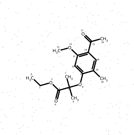 CCOC(=O)C(C)(C)Oc1cc(OC)c(C(C)=O)cc1C